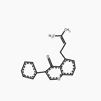 CC(C)=CCc1cccc2occ(-c3ccccc3)c(=O)c12